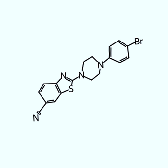 N#Cc1ccc2nc(N3CCN(c4ccc(Br)cc4)CC3)sc2c1